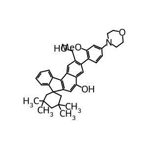 COc1cc(N2CCOCC2)ccc1-c1cc2c(O)cc3c(c2cc1CO)-c1ccccc1C31CC(C)(C)CC(C)(C)C1